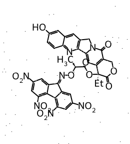 CC[C@@]1(OC(=O)[C@H](C)ON=C2c3cc([N+](=O)[O-])cc([N+](=O)[O-])c3-c3c2cc([N+](=O)[O-])cc3[N+](=O)[O-])C(=O)OCc2c1cc1n(c2=O)Cc2cc3cc(O)ccc3nc2-1